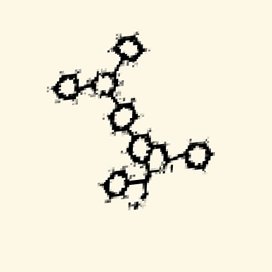 N=C/C(=C1\NC(c2ccccc2)=Cc2cc(-c3ccc(-c4cc(-c5ccccc5)nc(-c5ccccc5)n4)cc3)ccc21)c1ccccc1